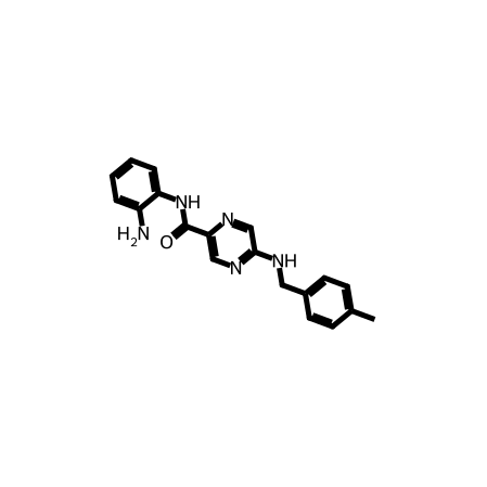 Cc1ccc(CNc2cnc(C(=O)Nc3ccccc3N)cn2)cc1